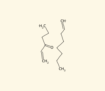 [CH2]CCC(=O)C=C.[CH]=CCCCCCC